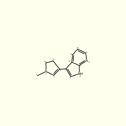 CN1C=C(c2c[nH]c3ncccc23)CC1